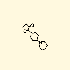 CC(C)C1(C(=O)N2CCC(N3CCCCC3)CC2)CC1